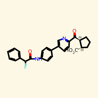 O=C(Nc1ccc(-c2ccc(C(=O)[C@H]3CCC[C@@H]3C(=O)O)nc2)cc1)C(F)c1ccccc1